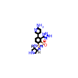 Nc1ccc(-c2ccc3c(c2-c2nn[nH]n2)S(=O)(=O)N=S32=N[C@H]3CNC[C@H]3N2)cn1